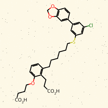 O=C(O)CCCOc1cccc(CCCCCCSc2cc(Cl)cc(-c3ccc4c(c3)OCO4)c2)c1CCC(=O)O